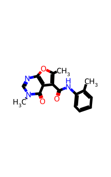 Cc1ccccc1NC(=O)c1c(C)oc2ncn(C)c(=O)c12